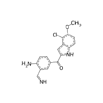 COc1ccc2[nH]c(C(=O)c3ccc(N)c(C=N)c3)cc2c1Cl